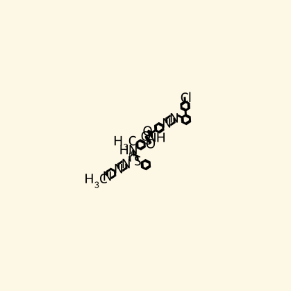 Cc1cc(S(=O)(=O)NC(=O)c2ccc(N3CCN(Cc4ccccc4-c4ccc(Cl)cc4)CC3)cc2)ccc1N[C@H](CCN1CCN(C2CCN(C)CC2)CC1)CSc1ccccc1